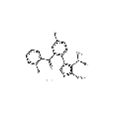 CCC(N)c1c(C(=O)O)ncn1-c1ccc(Br)cc1C(=O)c1ccccc1F.Cl